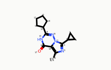 CCc1nc(C2CC2)n2nc(C3CCCC3)[nH]c(=O)c12